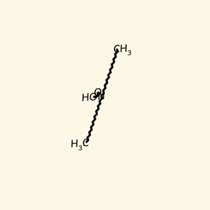 CCCCCCCCCCCCCCCCCCN(CCCCCCCCCCCCCCCCCC)C(=O)CO